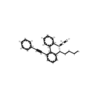 CCCCCc1cccc(C#Cc2ccccc2)c1-c1ccccc1N=C=S